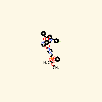 CCOC(=O)[C@H](C)OP(=O)(CCN1CCN(C(=O)Oc2c3c(c(OC(c4ccccc4)c4ccccc4)c4ncccc24)C(=O)N(Cc2ccc(F)cc2)C3)CC1)Oc1ccccc1